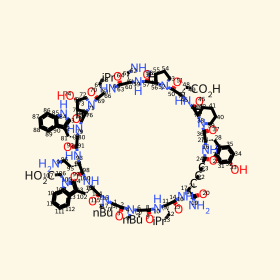 CCCC[C@H]1C(=O)N(C)[C@@H](CCCC)C(=O)N[C@@H](CC(C)C)C(=O)N[C@H](C(N)=O)CCCC(=O)N[C@@H](Cc2ccc(O)cc2)C(=O)N2CCCC[C@H]2C(=O)N[C@@H](CC(=O)O)C(=O)N2CCC[C@H]2C(=O)N[C@@H](CN)C(=O)N[C@@H](CC(C)C)C(=O)N2C[C@H](O)C[C@H]2C(=O)N[C@@H](Cc2c[nH]c3ccccc23)C(=O)N[C@@H](CCN)C(=O)N[C@@H](Cc2cn(CC(=O)O)c3ccccc23)C(=O)N1C